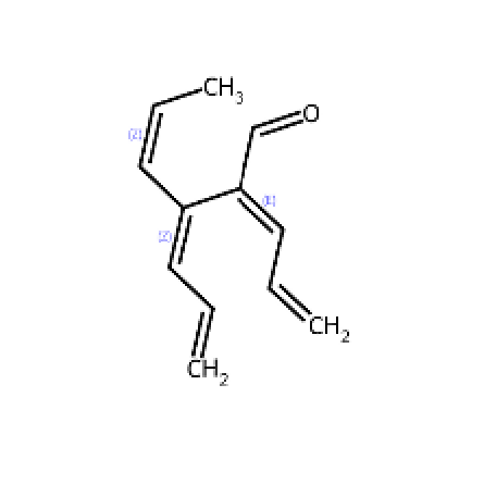 C=C/C=C(/C=C\C)C(\C=O)=C/C=C